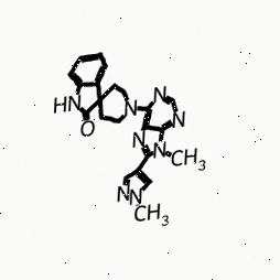 Cn1cc(-c2nc3c(N4CCC5(CC4)C(=O)Nc4ccccc45)ncnc3n2C)cn1